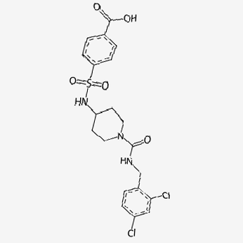 O=C(O)c1ccc(S(=O)(=O)NC2CCN(C(=O)NCc3ccc(Cl)cc3Cl)CC2)cc1